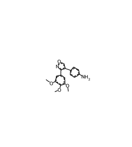 COc1cc(-c2nocc2-c2ccc(N)cc2)cc(OC)c1OC